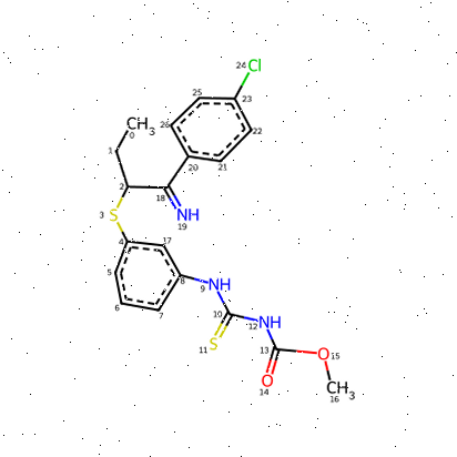 CCC(Sc1cccc(NC(=S)NC(=O)OC)c1)C(=N)c1ccc(Cl)cc1